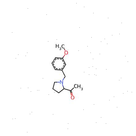 COc1cccc(CN2CCCC2C(C)=O)c1